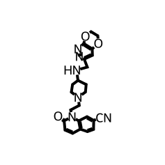 N#Cc1ccc2ccc(=O)n(CCN3CCC(NCc4cc5c(nn4)OCCO5)CC3)c2c1